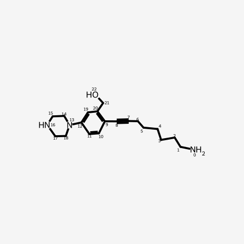 NCCCCCCC#Cc1ccc(N2CCNCC2)cc1CO